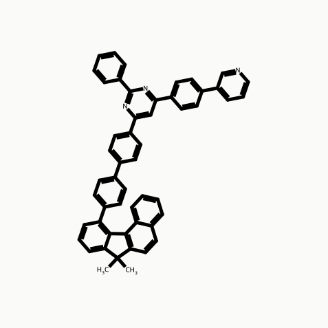 CC1(C)c2cccc(-c3ccc(-c4ccc(-c5cc(-c6ccc(-c7cccnc7)cc6)nc(-c6ccccc6)n5)cc4)cc3)c2-c2c1ccc1ccccc21